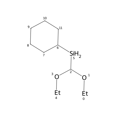 CCOC(OCC)[SiH2]C1CCCCC1